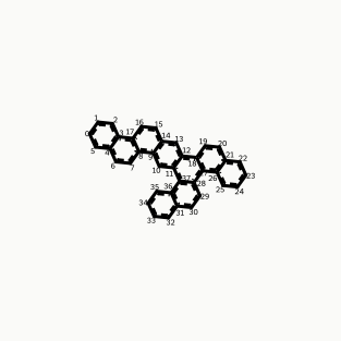 c1ccc2c(c1)ccc1c3cc4c(cc3ccc21)c1ccc2ccccc2c1c1ccc2ccccc2c41